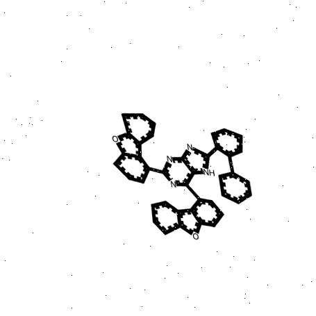 c1ccc(-c2ccccc2-c2nc3nc(-c4cccc5oc6ccccc6c45)nc(-c4cccc5oc6ccccc6c45)c3[nH]2)cc1